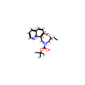 CC[C@@H]1CN(C(=O)OC(C)(C)C)Cc2c(ccc3cccnc23)O1